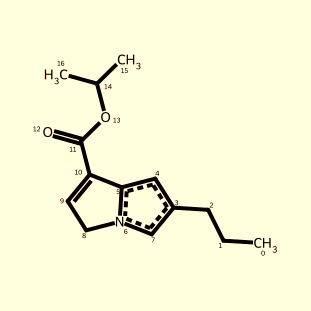 CCCc1cc2n(c1)CC=C2C(=O)OC(C)C